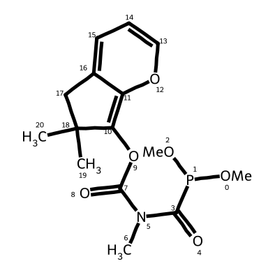 COP(OC)C(=O)N(C)C(=O)OC1=C2OC=CC=C2CC1(C)C